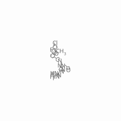 CC1(c2ccc(Cl)cc2F)Oc2cccc(C3CCN(Cc4nc5cc(-c6nnc(C(F)(F)F)[nH]6)nnc5n4CC4CCOC4)CC3)c2O1